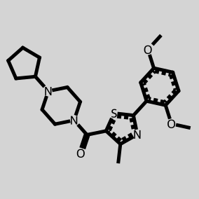 COc1ccc(OC)c(-c2nc(C)c(C(=O)N3CCN(C4CCCC4)CC3)s2)c1